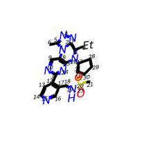 CCC1c2nnc(C)n2-c2cnc(-c3ccncc3CNS(C)(=O)=O)nc2N1C1CCCC1